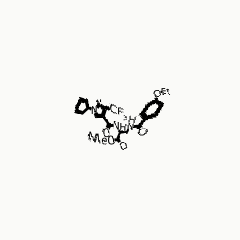 CCOc1ccc(C(=O)NCC(NC(=O)c2cn(-c3ccccc3)nc2C(F)(F)F)C(=O)OC)cc1